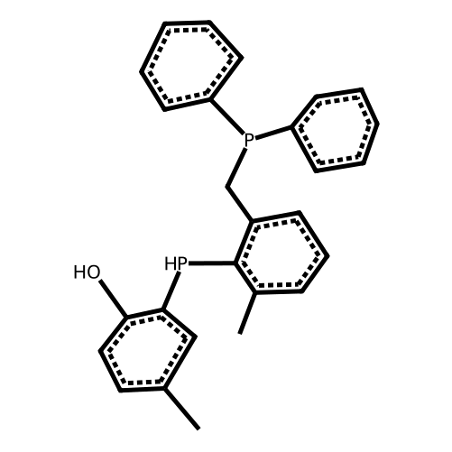 Cc1ccc(O)c(Pc2c(C)cccc2CP(c2ccccc2)c2ccccc2)c1